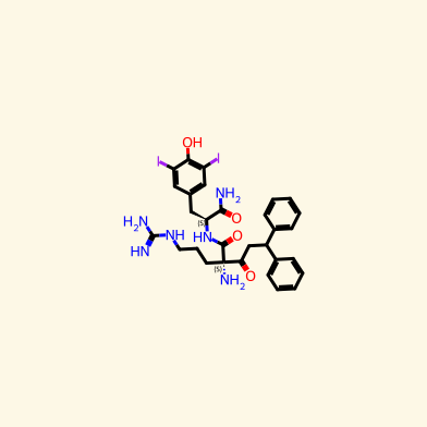 N=C(N)NCCC[C@](N)(C(=O)CC(c1ccccc1)c1ccccc1)C(=O)N[C@@H](Cc1cc(I)c(O)c(I)c1)C(N)=O